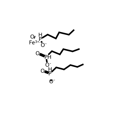 CCCCC[PH](=O)[O-].CCCCC[PH](=O)[O-].CCCCC[PH](=O)[O-].[Fe+3]